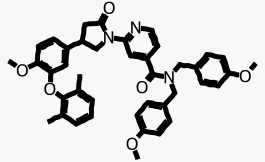 COc1ccc(CN(Cc2ccc(OC)cc2)C(=O)c2ccnc(N3CC(c4ccc(OC)c(Oc5c(C)cccc5C)c4)CC3=O)c2)cc1